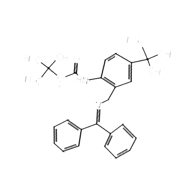 CC(C)(C)OC(=O)Nc1ccc(C(C)(C)C)cc1CN=C(c1ccccc1)c1ccccc1